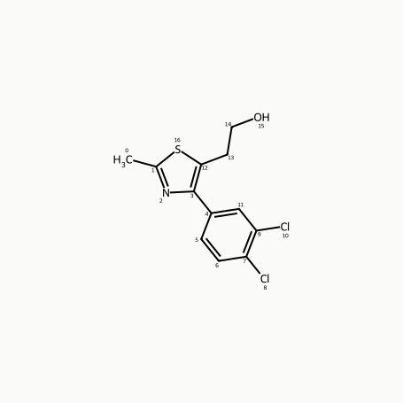 Cc1nc(-c2ccc(Cl)c(Cl)c2)c(CCO)s1